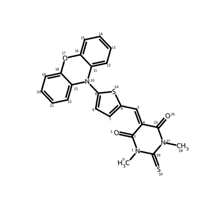 CN1C(=O)C(=Cc2ccc(N3c4ccccc4Oc4ccccc43)s2)C(=O)N(C)C1=S